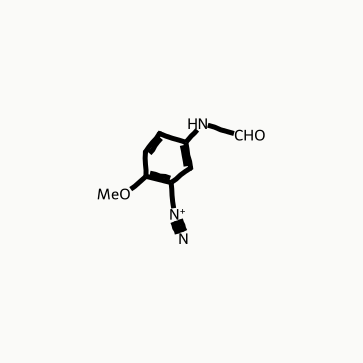 COc1ccc(NC=O)cc1[N+]#N